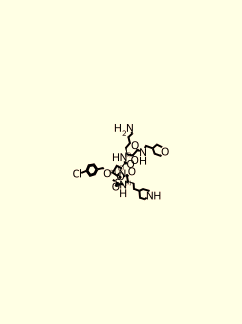 CS(=O)(=O)N[C@H](CCC1CCNCC1)C(=O)N1C[C@H](OCc2ccc(Cl)cc2)C[C@H]1C(=O)N[C@@H](CCCCN)C(=O)C(=O)NCC1CCOCC1